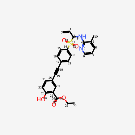 C=CC(Nc1ncccc1C)S(=O)(=O)c1ccc(C#Cc2ccc(O)c(C(=O)OCC)c2)cc1